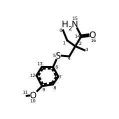 CCC(C)(CSc1ccc(OC)cc1)C(N)=O